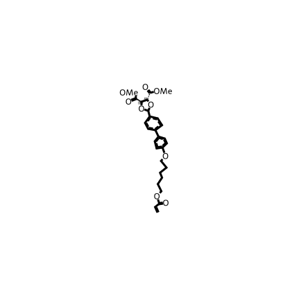 C=CC(=O)OCCCCCCOc1ccc(-c2ccc(C3O[C@@H](C(=O)OC)[C@H](C(=O)OC)O3)cc2)cc1